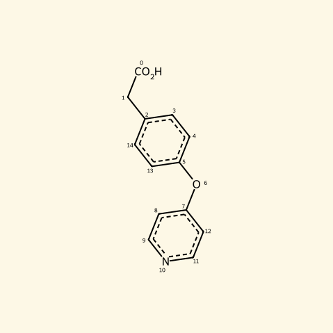 O=C(O)Cc1ccc(Oc2ccncc2)cc1